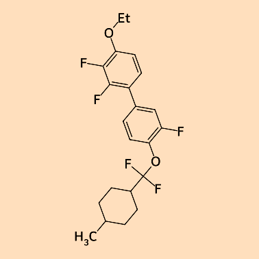 CCOc1ccc(-c2ccc(OC(F)(F)C3CCC(C)CC3)c(F)c2)c(F)c1F